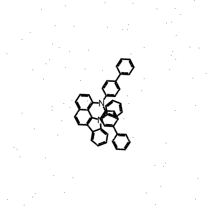 c1ccc(-c2ccc(N(c3ccc(-c4ccccc4)cc3)c3cccc4ccc5c6ccccc6n(-c6ccccc6)c5c34)cc2)cc1